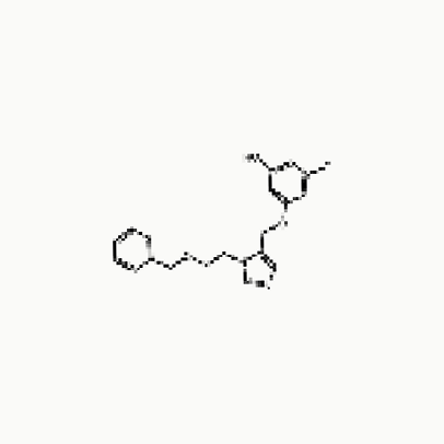 Oc1cc(F)cc(OCc2cncn2CCOCc2ccccc2)c1